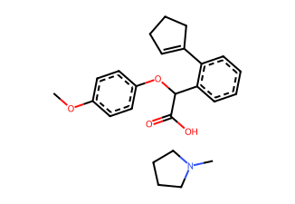 CN1CCCC1.COc1ccc(OC(C(=O)O)c2ccccc2C2=CCCC2)cc1